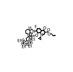 C=CCOC(=O)c1cn(C2CC2)c2c(OC)c(N3C[C@@H]4CCCN(C(=O)CC(P(=O)(OCC)OCC)P(=O)(OCC)OCC)[C@@H]4C3)c(F)cc2c1=O